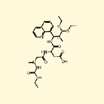 CCNC(=O)NN(C)CC(=O)NC(CC(=O)O)C(=O)NC(c1cccc2cccnc12)[C@H](C)C(OCC)OCC